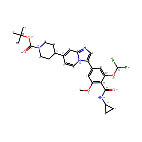 COc1cc(-c2cnc3cc(C4CCN(C(=O)OC(C)(C)C)CC4)ccn23)cc(OC(F)F)c1C(=O)NC1CC1